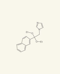 CCOC(Cn1ccnc1)(OCC)c1ccc2ccccc2c1